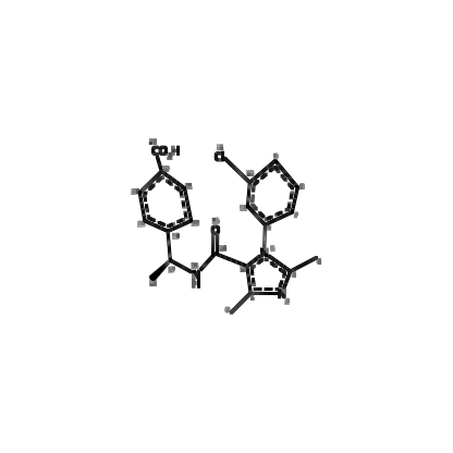 Cc1nc(C)n(-c2cccc(Cl)c2)c1C(=O)N[C@@H](C)c1ccc(C(=O)O)cc1